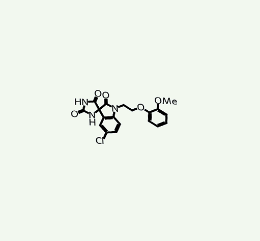 COc1ccccc1OCCN1C(=O)C2(NC(=O)NC2=O)c2cc(Cl)ccc21